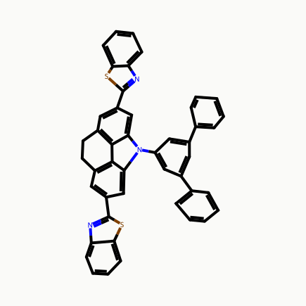 c1ccc(-c2cc(-c3ccccc3)cc(-n3c4cc(-c5nc6ccccc6s5)cc5c4c4c(cc(-c6nc7ccccc7s6)cc43)CC5)c2)cc1